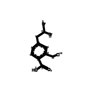 O=C(O)c1ccc(CC(Br)Br)cc1CCl